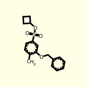 Cc1ccc(S(=O)(=O)OC2CCC2)cc1OCc1ccccc1